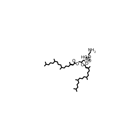 C/C(=C\C(=O)OCC(COP(=O)(O)OCCN)OC(=O)/C=C(\C)CCCC(C)CCCC(C)CCCC(C)C)CCCC(C)CCCC(C)CCCC(C)C